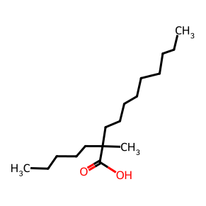 CCCCCCCCCC(C)(CCCCC)C(=O)O